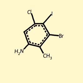 Cc1c(N)cc(Cl)c(I)c1Br